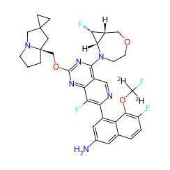 [2H]C([2H])(F)Oc1c(F)ccc2cc(N)cc(-c3ncc4c(N5CCOC[C@H]6[C@H](F)[C@H]65)nc(OC[C@@]56CCCN5CC5(CC5)C6)nc4c3F)c12